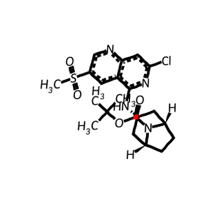 CC(C)(C)OC(=O)N1[C@@H]2CC[C@H]1C[C@@H](Nc1nc(Cl)cc3ncc(S(C)(=O)=O)cc13)C2